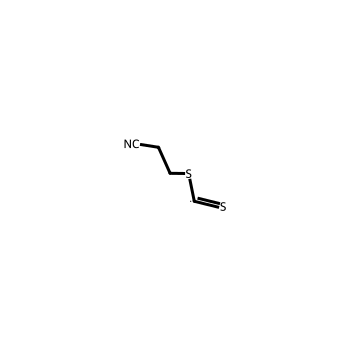 N#CCCS[C]=S